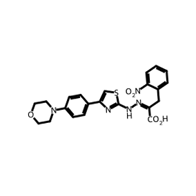 O=C(O)C(Cc1ccccc1[N+](=O)[O-])=NNc1nc(-c2ccc(N3CCOCC3)cc2)cs1